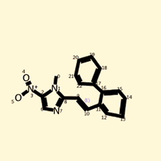 Cn1c([N+](=O)[O-])cnc1/C=C/c1ccccc1-c1ccccc1